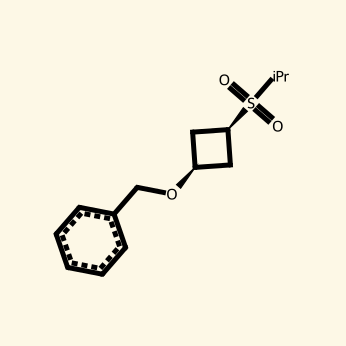 CC(C)S(=O)(=O)[C@H]1C[C@@H](OCc2ccccc2)C1